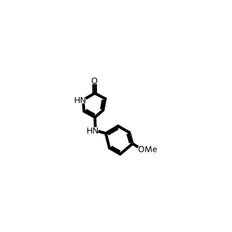 COc1ccc(Nc2ccc(=O)[nH]c2)cc1